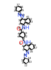 O=C(Nc1ccc(/N=N/c2ccccc2)c2ccccc12)c1ccc(C(=O)Nc2ccc(/N=N/c3ccccc3)c3ccccc23)cc1